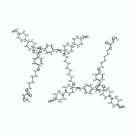 C=CC(=O)OCCCCCCOc1ccc(C(=O)OC2(C#Cc3ccc(C#CC4(OCCCCCCCCOC5(C#Cc6ccc(C#CC7(OC(=O)c8ccc(OCCCCCCOC(=O)C=C)cc8)CCC(C8CCC(CCC)CC8)CC7)cc6)CCC(C6CCC(CCC)CC6)CC5)CCC(C5CCC(CCC)CC5)CC4)cc3)CCC(C3CCC(CCC)CC3)CC2)cc1